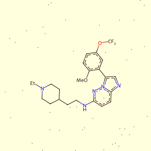 CCN1CCC(CCNc2ccc3ncc(-c4cc(OC(F)(F)F)ccc4OC)n3n2)CC1